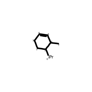 CC(C)C1CCC=CC1C